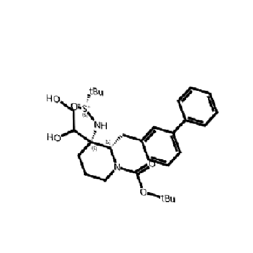 CC(C)(C)OC(=O)N1CCC[C@@](N[S@+]([O-])C(C)(C)C)(C(O)CO)[C@@H]1Cc1cccc(-c2ccccc2)c1